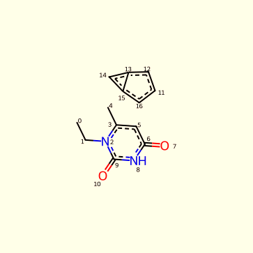 CCn1c(C)cc(=O)[nH]c1=O.c1cc2cc-2c1